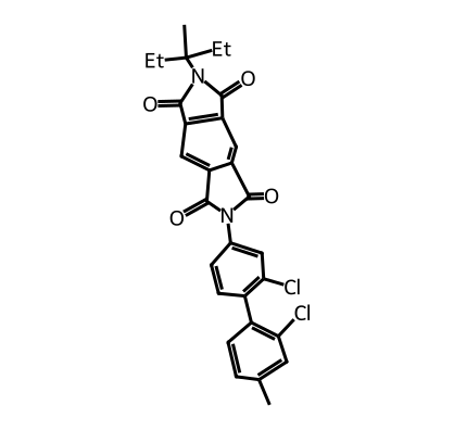 CCC(C)(CC)n1c(=O)c2cc3c(=O)n(-c4ccc(-c5ccc(C)cc5Cl)c(Cl)c4)c(=O)c3cc2c1=O